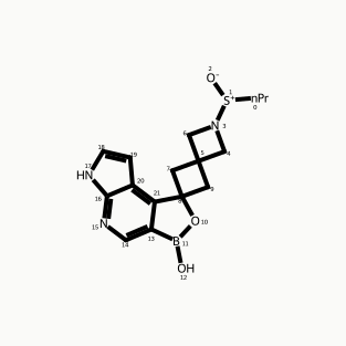 CCC[S+]([O-])N1CC2(C1)CC1(C2)OB(O)c2cnc3[nH]ccc3c21